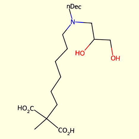 CCCCCCCCCCN(CCCCCCC(C)(C(=O)O)C(=O)O)CC(O)CO